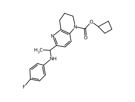 CC(Nc1ccc(F)cc1)c1ccc2c(n1)CCCN2C(=O)OC1CCC1